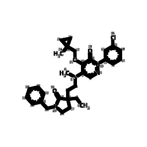 CCC1(CCN(C)c2cnn(-c3cccc(Cl)c3)c(=O)c2OCC2(C)CC2)CCN(Cc2ccccc2)C1=O